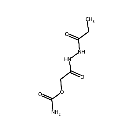 CCC(=O)NNC(=O)COC(N)=O